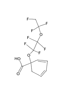 O=C(O)C1(OC(F)(F)C(F)(F)OC(F)(F)CF)C=CC=CC1